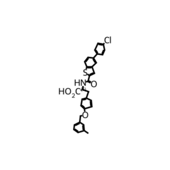 Cc1cccc(COc2ccc(C[C@H](NC(=O)c3cc4cc(-c5ccc(Cl)cc5)ccc4s3)C(=O)O)cc2)c1